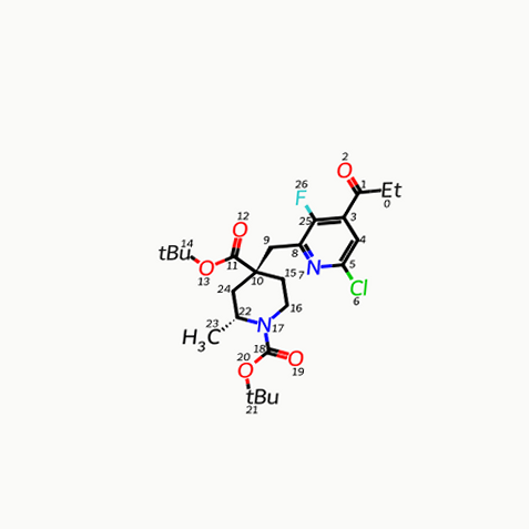 CCC(=O)c1cc(Cl)nc(C[C@@]2(C(=O)OC(C)(C)C)CCN(C(=O)OC(C)(C)C)[C@H](C)C2)c1F